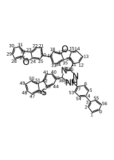 c1ccc(-c2ccc(C3=NC(c4cccc5oc6cc(-c7ccc8c(c7)oc7ccccc78)ccc6c45)=NC(c4ccc5c(c4)sc4ccccc45)N3)cc2)cc1